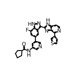 O=C(Nc1cncc(-c2cc(F)c3[nH]nc(-c4nc5c(-c6ccsc6)nccc5[nH]4)c3c2)c1)C1CCCC1